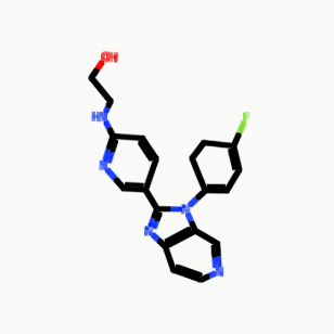 OCCNc1ccc(-c2nc3ccncc3n2C2=CC=C(F)CC2)cn1